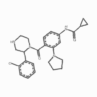 O=C(Nc1ccc(C(=O)N2CCNCC2c2ccccc2Cl)c(N2CCCC2)c1)C1CC1